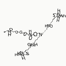 C#CCNC(=O)CCOCCOCCOCCNC(=O)c1ccc(CN(CCCCCCCNC(=O)CCCCC2SCC3NC(=N)NC32)CCCCCCNC(=O)CCCCC2SCC3NC(=N)NC32)cc1